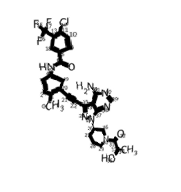 Cc1ccc(NC(=O)c2ccc(Cl)c(C(F)(F)F)c2)cc1C#Cc1nn([C@@H]2CCCN(C(=O)[C@@H](C)O)C2)c2ncnc(N)c12